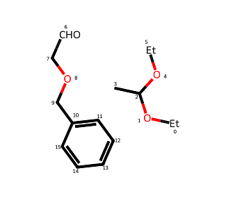 CCOC(C)OCC.O=CCOCc1ccccc1